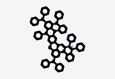 CS/C(=C(\C1=CB2c3cc4c(cc3Oc3cc(N(c5ccccc5)c5ccccc5)cc(c32)N1c1ccccc1)N(c1ccccc1)c1cc(N(c2ccccc2)c2ccccc2)cc2c1B4c1ccccc1N2c1ccccc1)c1ccccc1)c1ccccc1